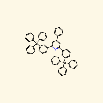 C1=CCCC([Si](c2ccccc2)(c2ccccc2)c2cccc(-c3cc(-c4ccccc4)cc(-c4cccc([Si](c5ccccc5)(c5ccccc5)c5ccccc5)c4)n3)c2)=C1